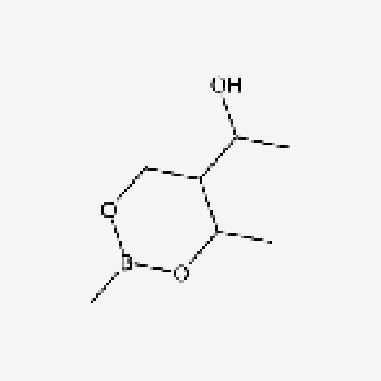 CB1OCC(C(C)O)C(C)O1